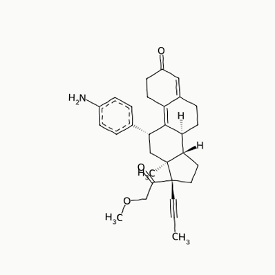 CC#C[C@]1(C(=O)COC)CC[C@H]2[C@@H]3CCC4=CC(=O)CCC4=C3[C@@H](c3ccc(N)cc3)C[C@@]21C